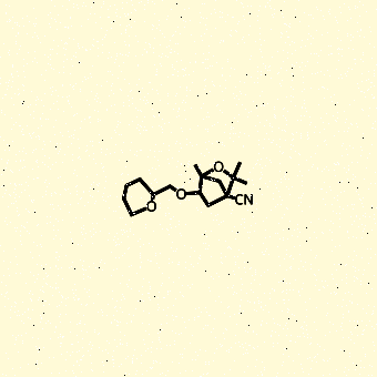 CC12CC(C#N)(CC1OCC1CCCCO1)C(C)(C)O2